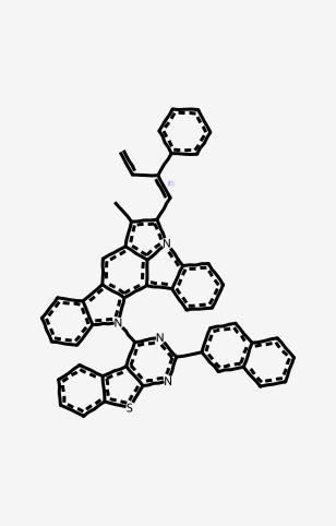 C=C/C(=C\c1c(C)c2cc3c4ccccc4n(-c4nc(-c5ccc6ccccc6c5)nc5sc6ccccc6c45)c3c3c4ccccc4n1c23)c1ccccc1